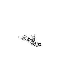 CC1(C)OC[C@@H](Cn2ccc(NC(=O)C(C[C@@H]3C[C@@H](F)[C@@H](F)C3)N3CC(Oc4ccccc4Cl)=CC3=O)n2)O1